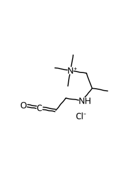 CC(C[N+](C)(C)C)NCC=C=O.[Cl-]